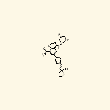 NC(=O)c1cc(-c2ccc(OCC3(O)CCCC3)cc2)nc2c(N[C@@H]3CNC[C@@H](F)C3)ncnc12